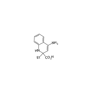 CCC1(C(=O)O)C=C(N)c2ccccc2N1